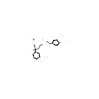 COc1ccc(CCN(C)CCCC(C#[N+]CF)(c2ccc(OC)c(OC)c2)C(C)C)cc1OC